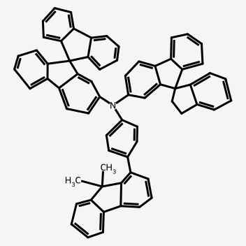 CC1(C)c2ccccc2-c2cccc(-c3ccc(N(c4ccc5c(c4)C4(CCc6ccccc64)c4ccccc4-5)c4ccc5c(c4)C4(c6ccccc6-c6ccccc64)c4ccccc4-5)cc3)c21